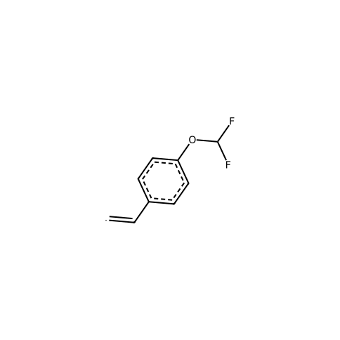 [CH]=Cc1ccc(OC(F)F)cc1